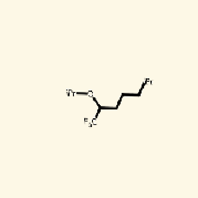 CC(C)CCCC(OC(C)C)C(F)(F)F